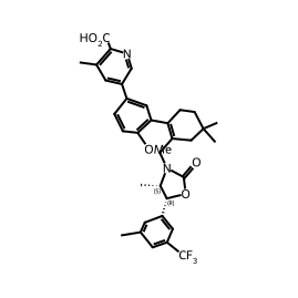 COc1ccc(-c2cnc(C(=O)O)c(C)c2)cc1C1=C(CN2C(=O)O[C@H](c3cc(C)cc(C(F)(F)F)c3)[C@@H]2C)CC(C)(C)CC1